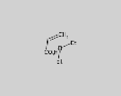 C=CC(=O)O.CC[B]CC